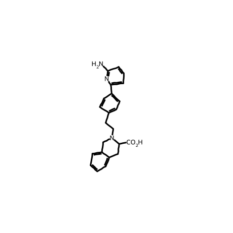 Nc1cccc(-c2ccc(CCN3Cc4ccccc4CC3C(=O)O)cc2)n1